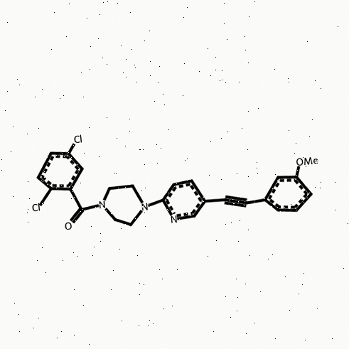 COc1cccc(C#Cc2ccc(N3CCN(C(=O)c4cc(Cl)ccc4Cl)CC3)nc2)c1